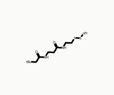 CCCSSCCNC(=O)CCNC(=O)CC(C)(C)C